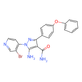 NC(=O)c1c(-c2ccc(Oc3ccccc3)cc2)nn(-c2ccncc2Br)c1N